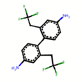 Nc1ccc(-c2ccc(N)cc2CC(F)(F)F)c(CC(F)(F)F)c1